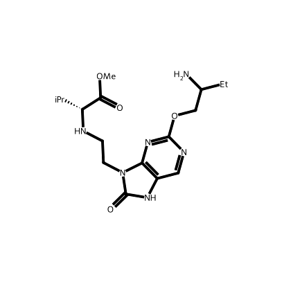 CCC(N)COc1ncc2[nH]c(=O)n(CCN[C@@H](C(=O)OC)C(C)C)c2n1